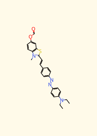 CCN(CC)c1ccc(/N=N/c2ccc(/C=C/c3sc4cc(OC=O)ccc4[n+]3C)cc2)cc1